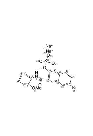 COc1ccccc1NC(=O)c1cc2cc(Br)ccc2cc1OP(=O)([O-])[O-].[Na+].[Na+]